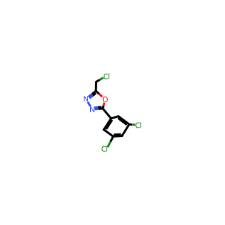 ClCc1nnc(-c2cc(Cl)cc(Cl)c2)o1